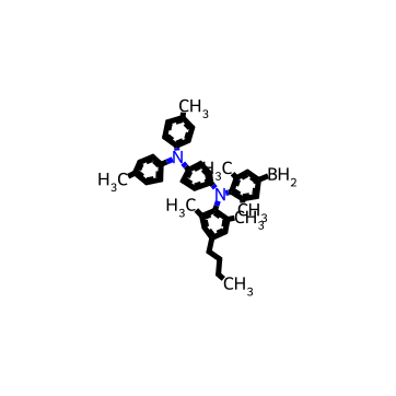 Bc1cc(C)c(N(c2ccc(N(c3ccc(C)cc3)c3ccc(C)cc3)cc2)c2c(C)cc(CCCC)cc2C)c(C)c1